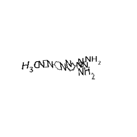 CN1CCN(C2CCN(c3ccc(-n4nc(N)nc4N)cn3)CC2)CC1